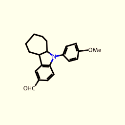 COc1ccc(N2c3ccc(C=O)cc3C3CCCCCC32)cc1